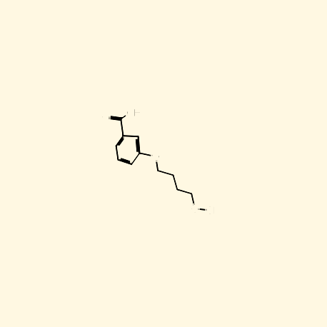 COCCCCOc1cccc(C(C)=O)c1